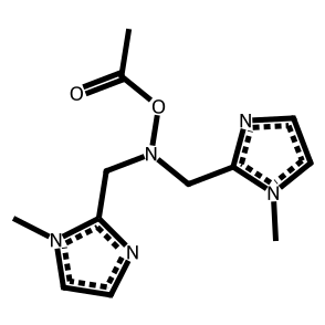 CC(=O)ON(Cc1nccn1C)Cc1nccn1C